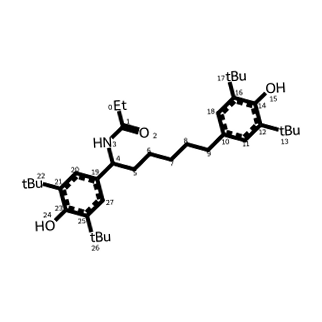 CCC(=O)NC(CCCCCc1cc(C(C)(C)C)c(O)c(C(C)(C)C)c1)c1cc(C(C)(C)C)c(O)c(C(C)(C)C)c1